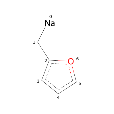 [Na][CH2]c1ccco1